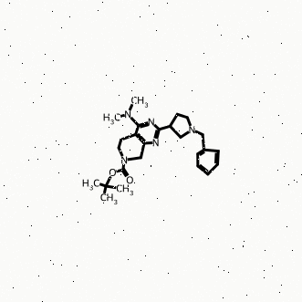 CN(C)c1nc(C2CCN(Cc3ccccc3)C2)nc2c1CCN(C(=O)OC(C)(C)C)C2